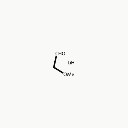 COCC=O.[LiH]